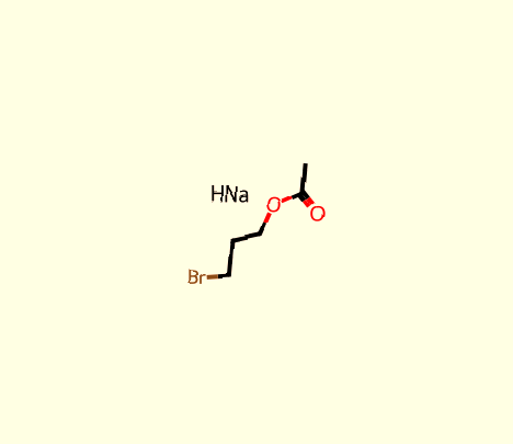 CC(=O)OCCCBr.[NaH]